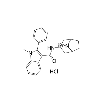 CC(C)N1C2CCC1CC(NC(=O)c1c(-c3ccccc3)n(C)c3ccccc13)C2.Cl